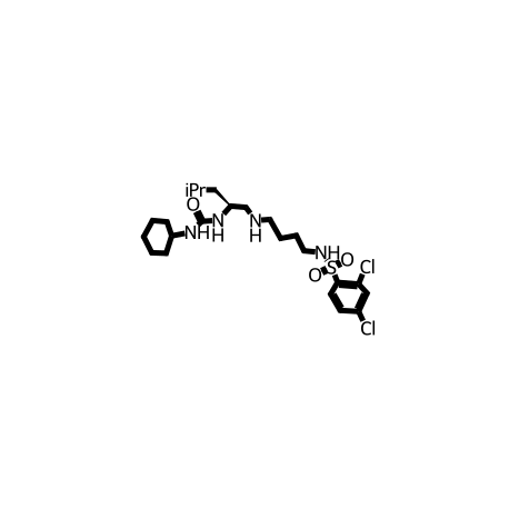 CC(C)C[C@@H](CNCCCCNS(=O)(=O)c1ccc(Cl)cc1Cl)NC(=O)NC1CCCCC1